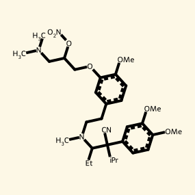 CCC(N(C)CCc1ccc(OC)c(OCC(CN(C)C)O[N+](=O)[O-])c1)C(C#N)(c1ccc(OC)c(OC)c1)C(C)C